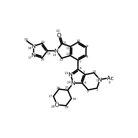 CC(=O)N1CCc2c(c(-c3cccc4c3CN(c3cnn(C)c3)C4=O)nn2C2CCOCC2)C1